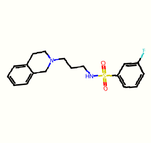 O=S(=O)(NCCCN1CCc2ccccc2C1)c1cccc(F)c1